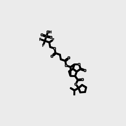 CC(C)C1(OC(=O)C2C3CC4C(OC(=O)C42)C3OC(=O)CCC(=O)OCC(F)C(F)(F)S(=O)(=O)O)CCCC1